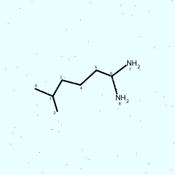 CC(C)CCCC(N)N